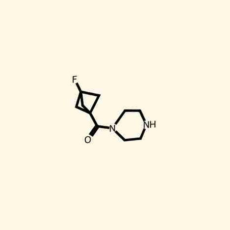 O=C(N1CCNCC1)C12CC(F)(C1)C2